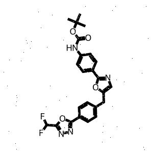 CC(C)(C)OC(=O)Nc1ccc(-c2ncc(Cc3ccc(-c4nnc(C(F)F)o4)cc3)o2)cc1